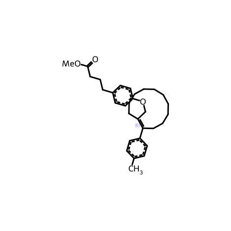 COC(=O)CCCc1ccc(OC/C2=C(/c3ccc(C)cc3)CCCCCCCCCC2)cc1